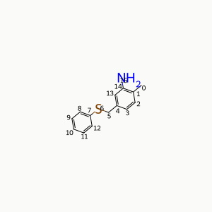 Cc1ccc(CSc2ccccc2)cc1N